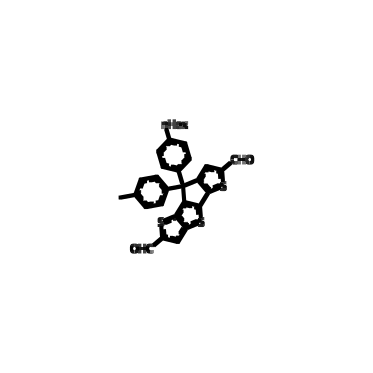 CCCCCCc1ccc(C2(c3ccc(C)cc3)c3cc(C=O)sc3-c3sc4cc(C=O)sc4c32)cc1